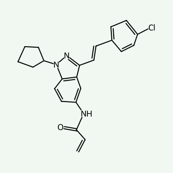 C=CC(=O)Nc1ccc2c(c1)c(C=Cc1ccc(Cl)cc1)nn2C1CCCC1